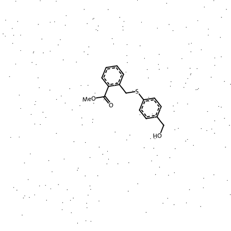 COC(=O)c1ccccc1CSc1ccc(CO)cc1